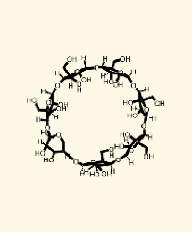 OCC1O[C@@H]2O[C@@H]3CO[C@H](O[C@@H]4C(CO)O[C@H](O[C@@H]5C(CO)O[C@H](C[C@@H]6C(CO)O[C@@H](O[C@@H]7C(CO)O[C@@H](O[C@@H]8C(CO)O[C@@H](O[C@H]1C(O)[C@@H]2O)[C@@H](O)C8O)[C@@H](O)C7O)C(O)[C@H]6O)C(O)[C@H]5O)C(O)[C@H]4O)[C@@H](O)C3O